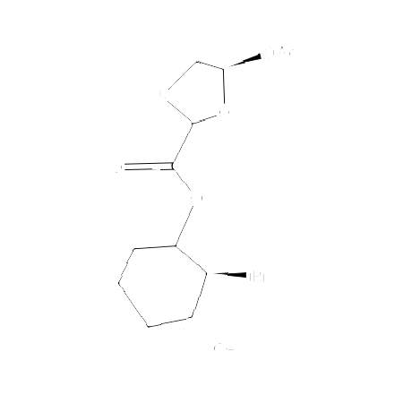 CC(=O)O[C@@H]1CSC(C(=O)OC2CCC[C@@H](C)[C@@H]2C(C)C)O1